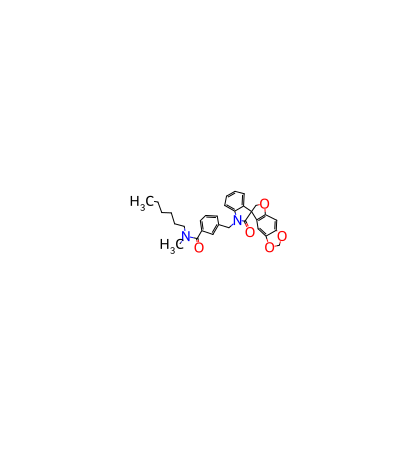 CCCCCCN(C)C(=O)c1cccc(CN2C(=O)C3(COc4cc5c(cc43)OCO5)c3ccccc32)c1